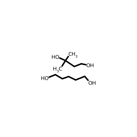 CC(C)(O)CCO.OCCCCCO